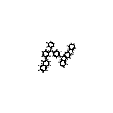 c1ccc(N(c2ccc(-n3c4ccccc4c4cc5oc6ccccc6c5cc43)cc2)c2cccc(-c3ccc4ccccc4c3)c2)cc1